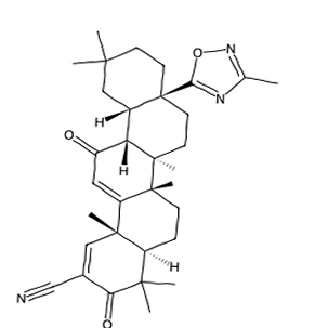 Cc1noc([C@]23CCC(C)(C)C[C@H]2[C@H]2C(=O)C=C4[C@@]5(C)C=C(C#N)C(=O)C(C)(C)[C@@H]5CC[C@@]4(C)[C@]2(C)CC3)n1